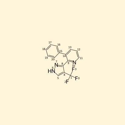 FC(F)(F)c1c[nH]nc1-c1ncccc1-c1ccccc1